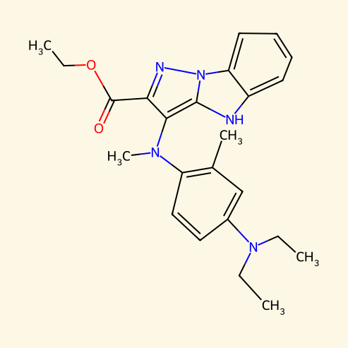 CCOC(=O)c1nn2c([nH]c3ccccc32)c1N(C)c1ccc(N(CC)CC)cc1C